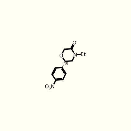 CCN1C[C@H](c2ccc([N+](=O)[O-])cc2)OCC1=O